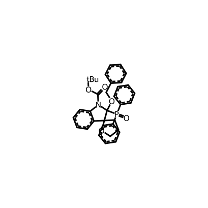 CC(C)(C)OC(=O)N1c2ccccc2C2(CCCO2)C1(OCc1ccccc1)P(=O)(c1ccccc1)c1ccccc1